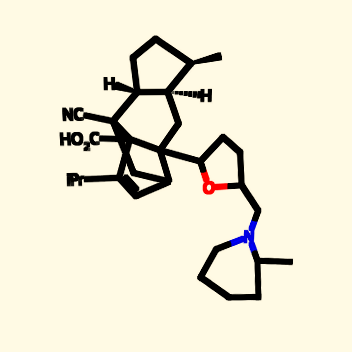 CC(C)C1=CC2CC3(C#N)[C@@H]4CC[C@@H](C)[C@H]4CC2(C2CCC(CN4CCCCC4C)O2)C13C(=O)O